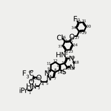 CC(C)CNC[C@H](Cn1cc2c(n1)CCc1c-2sc2ncnc(Nc3ccc(OCc4cccc(F)c4)c(Cl)c3)c12)OC(=O)C(F)(F)F